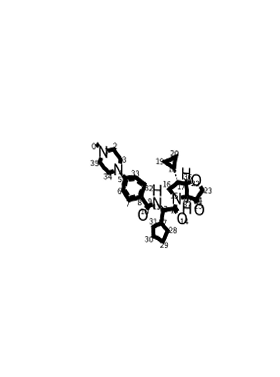 CN1CCN(c2ccc(C(=O)NC(C(=O)N3C[C@H](C4CC4)[C@@H]4OCC(=O)[C@H]43)C3CCCC3)cc2)CC1